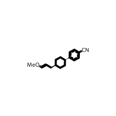 COC=CC[C@H]1CC[C@H](c2ccc(C#N)cc2)CC1